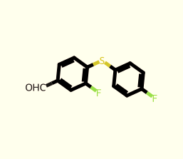 O=Cc1ccc(Sc2ccc(F)cc2)c(F)c1